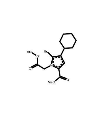 COC(=O)c1cc(C2CCCCC2)c(Br)n1CC(=O)OC(C)(C)C